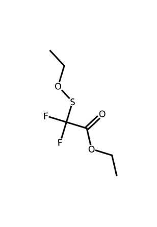 CCOSC(F)(F)C(=O)OCC